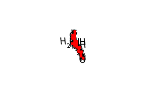 N=C(c1ccc(Oc2ccccc2)cc1)c1c(N)ncnc1NC1CCN(C2CCN(C3CN(C=O)C3)CC2)CC1